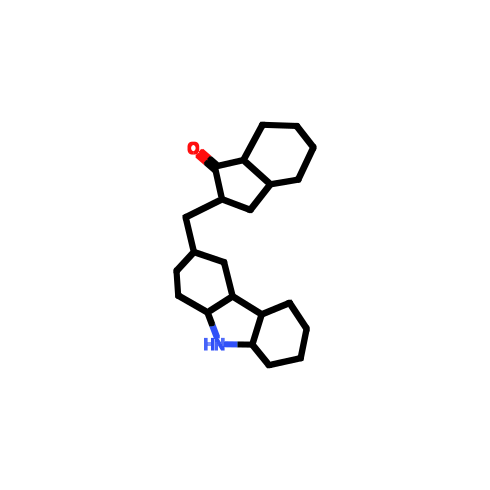 O=C1C(CC2CCC3NC4CCCCC4C3C2)CC2CCCCC12